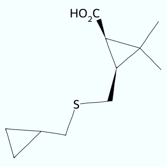 CC1(C)[C@H](C(=O)O)[C@@H]1CSCC1CC1